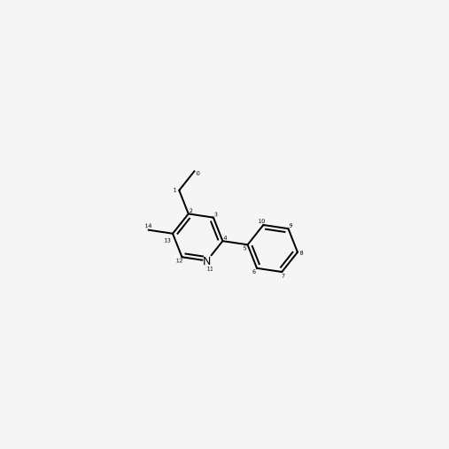 CCc1cc(-c2ccccc2)ncc1C